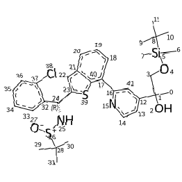 CC(O)(CO[Si](C)(C)C(C)(C)C)c1ccnc(-c2cccc3cc([C@H](N[S+]([O-])C(C)(C)C)c4ccccc4Cl)sc23)c1